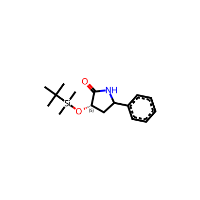 CC(C)(C)[Si](C)(C)O[C@H]1CC(c2ccccc2)NC1=O